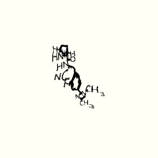 Cc1cn(C)c(-c2ccc(C[C@@H](C#N)NC(=O)[C@H]3N[C@@H]4CC[C@H]3C4)c(F)c2)n1